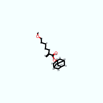 C=C(CCCCCOC)C(=O)OC12CC3CC(CC(C3)C1)C2